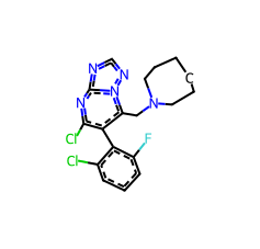 Fc1cccc(Cl)c1-c1c(Cl)nc2ncnn2c1CN1CCCCCC1